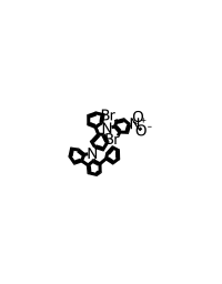 O=[N+]([O-])c1cc(Br)c(-n2c3ccccc3c3cc(-n4c5ccccc5c5cccc(-c6ccccc6)c54)ccc32)c(Br)c1